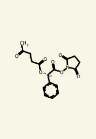 CC(=O)CCC(=O)O[C@H](C(=O)ON1C(=O)CCC1=O)c1ccccc1